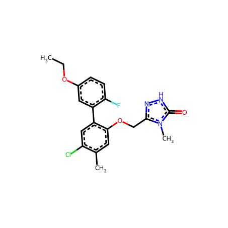 CCOc1ccc(F)c(-c2cc(Cl)c(C)cc2OCc2n[nH]c(=O)n2C)c1